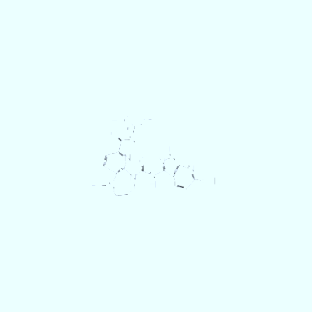 CCN1CCCN(C(=O)Nc2n[nH]c3nc(C)ccc23)c2nc(C(=O)N[C@H](C)C(F)(F)F)ccc21